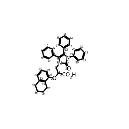 O=C(O)C(Cn1c(-c2ccccc2)c(-c2ccccc2)n(-c2ccccc2)c1=O)Oc1cccc2c1CCCC2